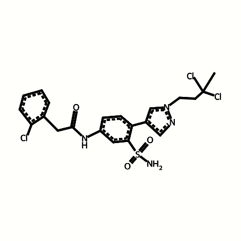 CC(Cl)(Cl)CCn1cc(-c2ccc(NC(=O)Cc3ccccc3Cl)cc2S(N)(=O)=O)cn1